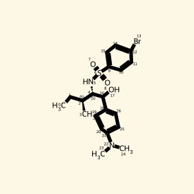 CC[C@H](C)[C@H](NS(=O)(=O)c1ccc(Br)cc1)C(O)c1ccc(N(C)C)cc1